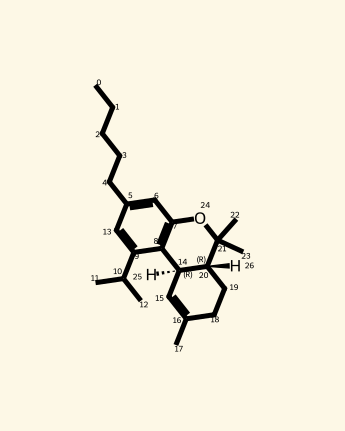 CCCCCc1cc2c(c(C(C)C)c1)[C@@H]1C=C(C)CC[C@H]1C(C)(C)O2